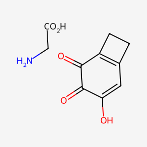 NCC(=O)O.O=C1C(=O)C2=C(C=C1O)CC2